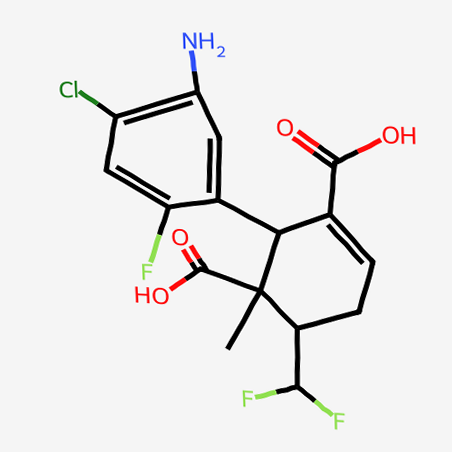 CC1(C(=O)O)C(c2cc(N)c(Cl)cc2F)C(C(=O)O)=CCC1C(F)F